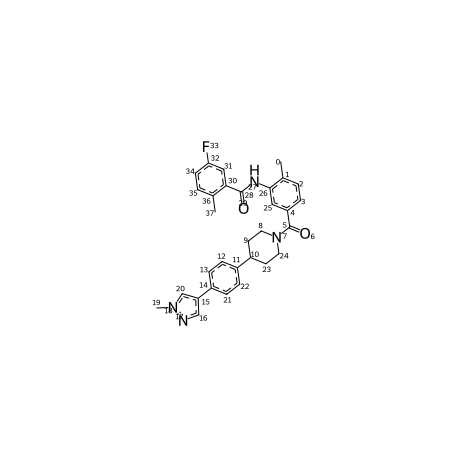 Cc1ccc(C(=O)N2CCC(c3ccc(-c4cnn(C)c4)cc3)CC2)cc1NC(=O)c1cc(F)ccc1C